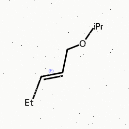 CC/C=C/COC(C)C